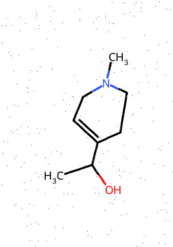 CC(O)C1=CCN(C)CC1